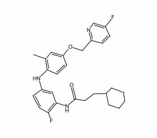 Cc1cc(OCc2ccc(F)cn2)ccc1Nc1ccc(F)c(NC(=O)CCC2CCCCC2)c1